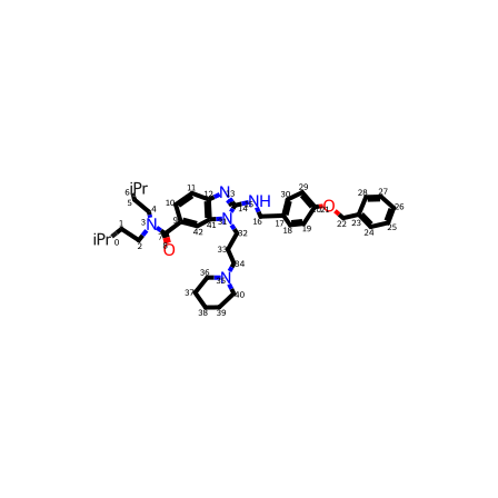 CC(C)CCN(CCC(C)C)C(=O)c1ccc2nc(NCc3ccc(OCc4ccccc4)cc3)n(CCCN3CCCCC3)c2c1